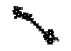 CN1Cc2ccccc2-c2c(nnn2CCOCCOCCOCCNC(=O)c2ccc(-c3cc(=O)c4ccc(O)c(O)c4o3)cc2)-c2ccccc21